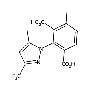 Cc1ccc(C(=O)O)c(-n2nc(C(F)(F)F)cc2C)c1C(=O)O